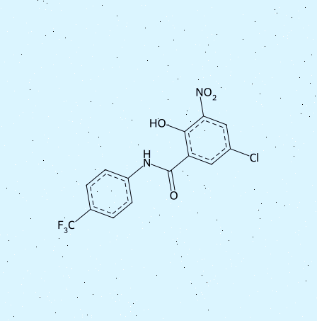 O=C(Nc1ccc(C(F)(F)F)cc1)c1cc(Cl)cc([N+](=O)[O-])c1O